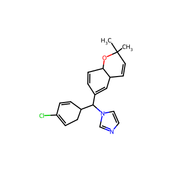 CC1(C)C=CC2C=C(C(C3C=CC(Cl)=CC3)n3ccnc3)C=CC2O1